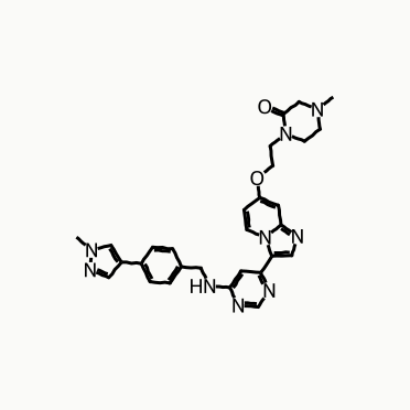 CN1CCN(CCOc2ccn3c(-c4cc(NCc5ccc(-c6cnn(C)c6)cc5)ncn4)cnc3c2)C(=O)C1